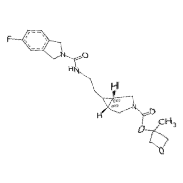 CC1(OC(=O)N2C[C@@H]3C(CCNC(=O)N4Cc5ccc(F)cc5C4)[C@@H]3C2)COC1